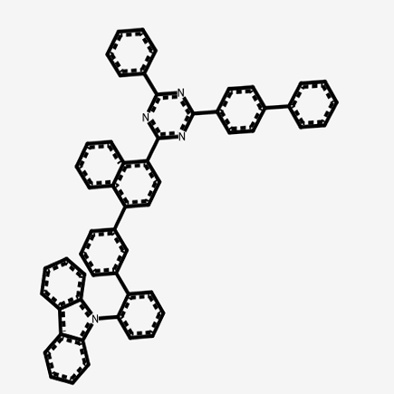 c1ccc(-c2ccc(-c3nc(-c4ccccc4)nc(-c4ccc(-c5cccc(-c6ccccc6-n6c7ccccc7c7ccccc76)c5)c5ccccc45)n3)cc2)cc1